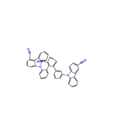 N#Cc1ccc2c(c1)c1ccccc1n2-c1cccc(-c2cccc(C#N)c2-c2ccccc2-n2c3ccccc3c3c(C#N)cccc32)c1